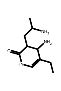 CCC1=CNC(=O)C(CC(C)N)C1N